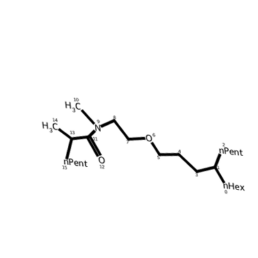 CCCCCCC(CCCCC)CCCOCCN(C)C(=O)C(C)CCCCC